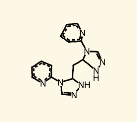 C1=NNC(CC2NN=CN2c2ccccn2)N1c1ccccn1